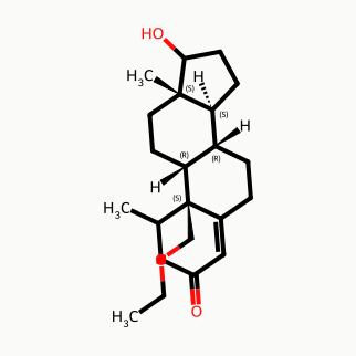 CCOC[C@@]12C(=CC(=O)CC1C)CC[C@@H]1[C@H]2CC[C@]2(C)C(O)CC[C@@H]12